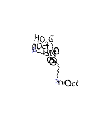 CCCCCCCC/C=C\CCCCCCCC(=O)CC(CNC(=O)CCCCC(=O)O)C(=O)CCCCCCC/C=C\CCCCCCCC